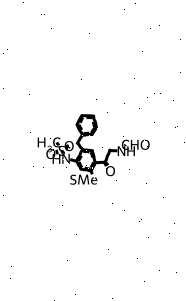 CSc1cc(NS(C)(=O)=O)c(Cc2ccccc2)cc1C(=O)CNC=O